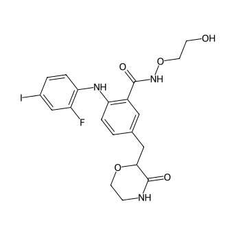 O=C(NOCCO)c1cc(CC2OCCNC2=O)ccc1Nc1ccc(I)cc1F